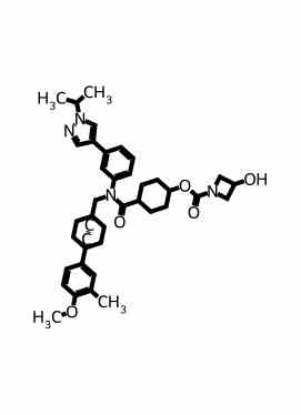 COc1ccc(C23CCC(CN(C(=O)C4CCC(OC(=O)N5CC(O)C5)CC4)c4cccc(-c5cnn(C(C)C)c5)c4)(CC2)CC3)cc1C